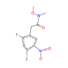 CON(C)C(=O)Cc1cc([N+](=O)[O-])c(F)cc1F